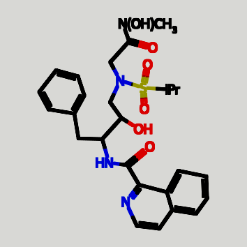 CC(C)S(=O)(=O)N(CC(=O)N(C)O)CC(O)C(Cc1ccccc1)NC(=O)c1nccc2ccccc12